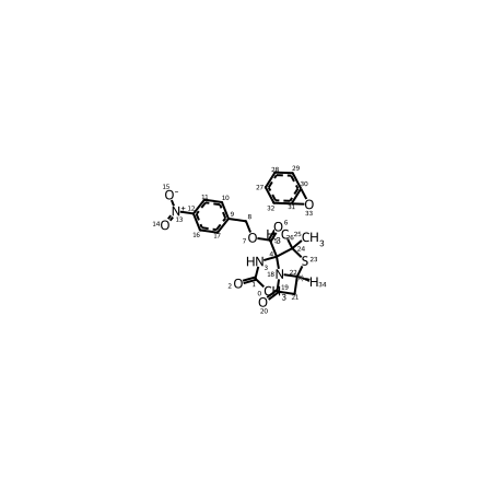 CC(=O)NC1(C(=O)OCc2ccc([N+](=O)[O-])cc2)N2C(=O)C[C@H]2SC1(C)C.c1ccc2c(c1)O2